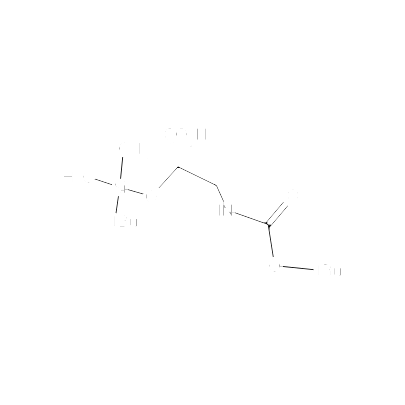 CC(C)(C)OC(=O)NC[C@H](O[Si](C)(C)C(C)(C)C)C(=O)O